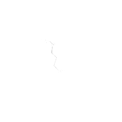 O=C(O)NCCCS(=O)(=O)O